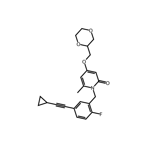 Cc1cc(OCC2COCCO2)cc(=O)n1Cc1cc(C#CC2CC2)ccc1F